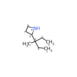 CCC(C)(CC)C1CCN1